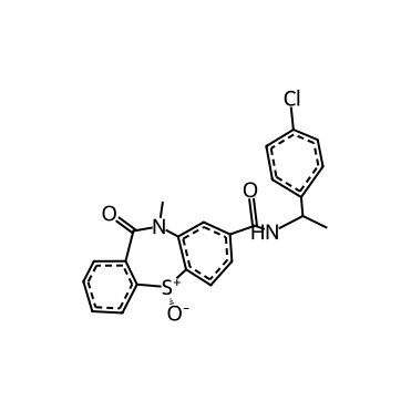 CC(NC(=O)c1ccc2c(c1)N(C)C(=O)c1ccccc1[S@@+]2[O-])c1ccc(Cl)cc1